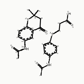 CC(=O)Nc1ccc(SCCC(=O)O)cc1.CC(=O)Nc1ccc2c(c1)C(=O)CC(C)(C)S2